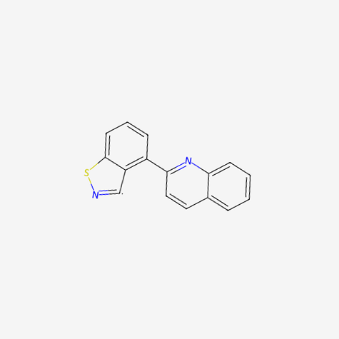 [c]1nsc2cccc(-c3ccc4ccccc4n3)c12